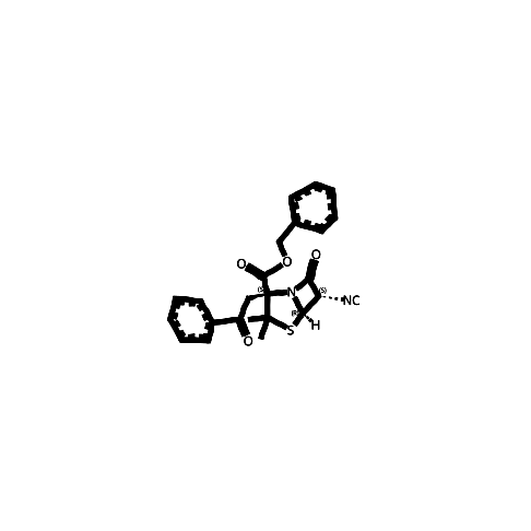 [C-]#[N+][C@H]1C(=O)N2[C@@H]1SC(C)(C)[C@]2(CC(=O)c1ccccc1)C(=O)OCc1ccccc1